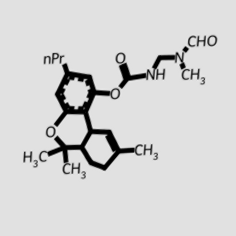 CCCc1cc(OC(=O)NCN(C)C=O)c2c(c1)OC(C)(C)C1CCC(C)=CC21